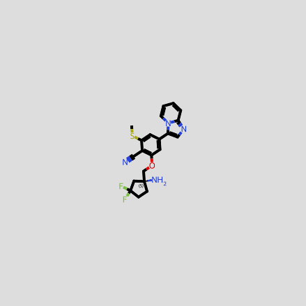 CSc1cc(-c2cnc3ccccn23)cc(OC[C@]2(N)CCC(F)(F)C2)c1C#N